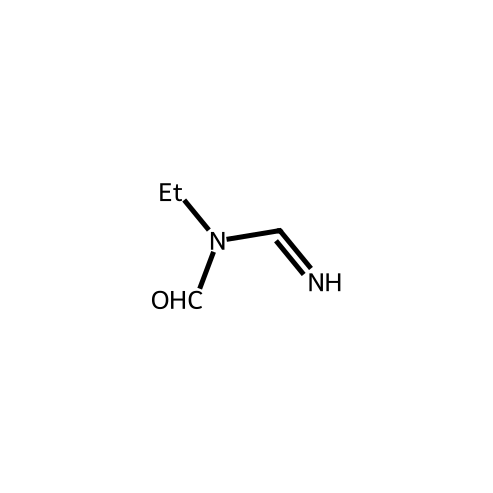 CCN(C=N)C=O